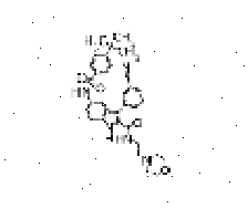 CC(C)(C)c1ccc(S(=O)(=O)Nc2ccc3[nH]c(C(=O)NCCN4CCOCC4)c(-c4cccc(C#N)c4)c3c2)cc1